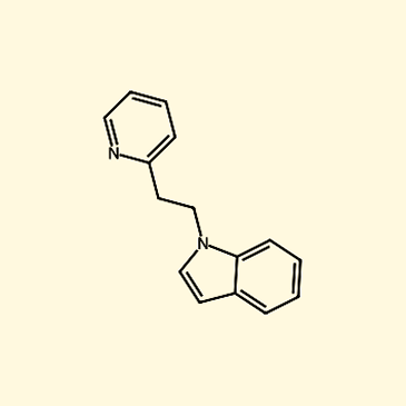 c1ccc(CCn2ccc3ccccc32)nc1